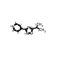 CC(C)c1nc(-c2ccncc2)no1